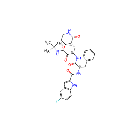 CC(C)(C)NC(=O)C(=O)[C@H](C[C@@H]1CCCNC1=O)NC(=O)[C@H](Cc1ccccc1)NC(=O)c1cc2cc(F)ccc2[nH]1